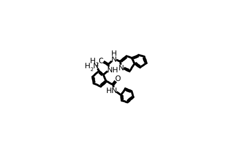 C=C(Nc1cc2ccccc2cn1)Nc1c(N)cccc1C(=O)Nc1ccccc1